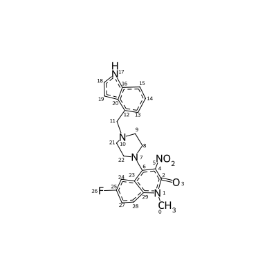 Cn1c(=O)c([N+](=O)[O-])c(N2CCN(Cc3cccc4[nH]ccc34)CC2)c2cc(F)ccc21